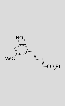 CCOC(=O)/C=C/C=C/c1cc(OC)cc([N+](=O)[O-])c1